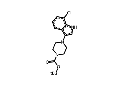 CC(C)(C)OC(=O)N1CCN(c2c[nH]c3c(Cl)cccc23)CC1